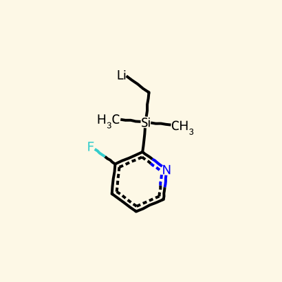 [Li][CH2][Si](C)(C)c1ncccc1F